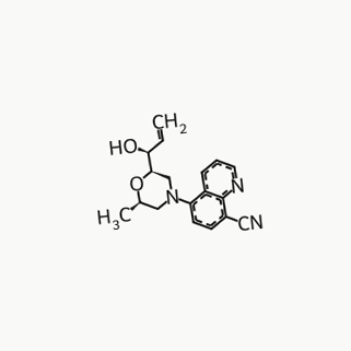 C=C[C@H](O)[C@H]1CN(c2ccc(C#N)c3ncccc23)C[C@@H](C)O1